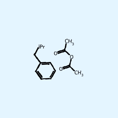 CC(=O)OC(C)=O.CC(C)Cc1ccccc1